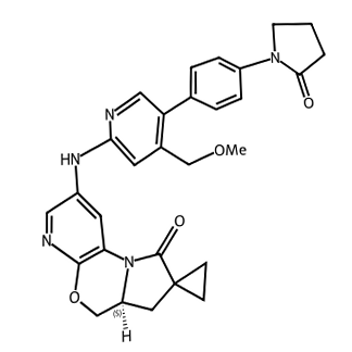 COCc1cc(Nc2cnc3c(c2)N2C(=O)C4(CC4)C[C@H]2CO3)ncc1-c1ccc(N2CCCC2=O)cc1